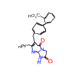 CCCc1nc2n(c(=O)c1Cc1ccc(-c3ccccc3C(=O)O)cc1)CC(=O)N2